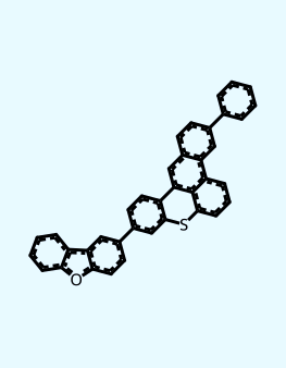 c1ccc(-c2ccc3cc4c5c(cccc5c3c2)Sc2cc(-c3ccc5oc6ccccc6c5c3)ccc2-4)cc1